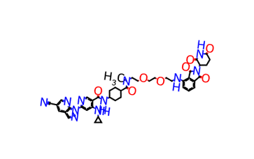 CN(CCOCCOCCNc1cccc2c1C(=O)N(C1CCC(=O)NC1=O)C2=O)C(=O)C1CCC(NC(=O)c2cnc(-n3ncc4cc(C#N)cnc43)cc2NC2CC2)CC1